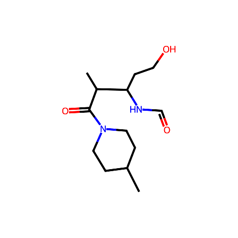 CC1CCN(C(=O)C(C)C(CCO)NC=O)CC1